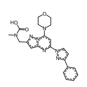 CN(Cc1cc2nc(-n3ccc(-c4ccccc4)n3)cc(N3CCOCC3)n2n1)C(=O)O